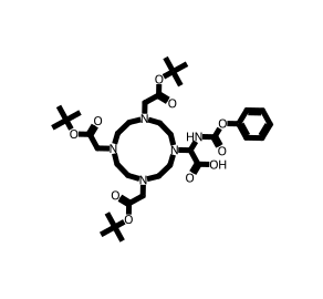 CC(C)(C)OC(=O)CN1CCN(CC(=O)OC(C)(C)C)CCN(C(NC(=O)Oc2ccccc2)C(=O)O)CCN(CC(=O)OC(C)(C)C)CC1